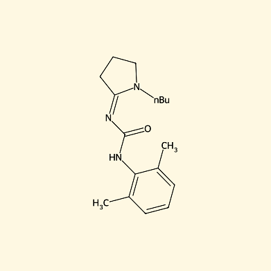 CCCCN1CCCC1=NC(=O)Nc1c(C)cccc1C